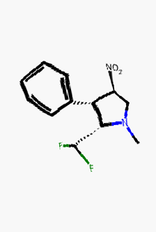 CN1C[C@H]([N+](=O)[O-])[C@@H](c2ccccc2)[C@H]1C(F)F